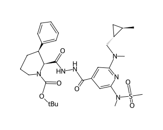 C[C@@H]1C[C@H]1CN(C)c1cc(C(=O)NNC(=O)[C@@H]2[C@H](c3ccccc3)CCCN2C(=O)OC(C)(C)C)cc(N(C)S(C)(=O)=O)n1